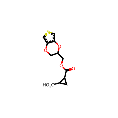 O=C(O)C1CC1C(=O)OCC1COc2cscc2O1